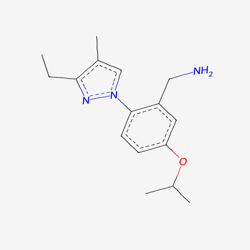 CCc1nn(-c2ccc(OC(C)C)cc2CN)cc1C